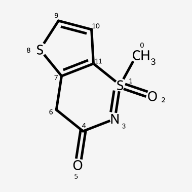 CS1(=O)=NC(=O)Cc2sccc21